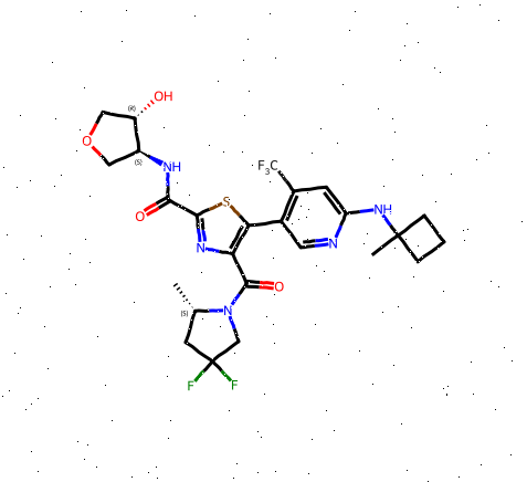 C[C@H]1CC(F)(F)CN1C(=O)c1nc(C(=O)N[C@H]2COC[C@@H]2O)sc1-c1cnc(NC2(C)CCC2)cc1C(F)(F)F